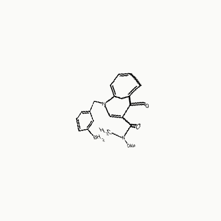 Bc1cccc(Cn2cc(C(=O)N(C)OC)c(=O)c3ccccc32)c1